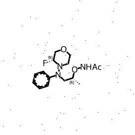 CC(=O)NO[C@H](C)CN(c1ccccc1)N1CCOC[C@H]1F